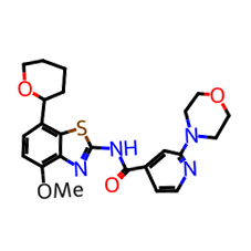 COc1ccc(C2CCCCO2)c2sc(NC(=O)c3ccnc(N4CCOCC4)c3)nc12